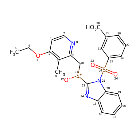 Cc1c(OCC(F)(F)F)ccnc1C[S+]([O-])c1nc2ccccc2n1S(=O)(=O)c1cccc(C(=O)O)c1